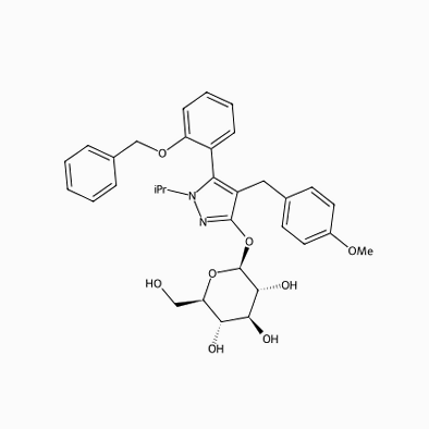 COc1ccc(Cc2c(O[C@@H]3O[C@H](CO)[C@@H](O)[C@H](O)[C@H]3O)nn(C(C)C)c2-c2ccccc2OCc2ccccc2)cc1